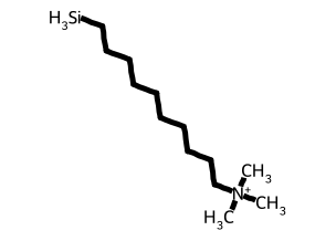 C[N+](C)(C)CCCCCCCCCC[SiH3]